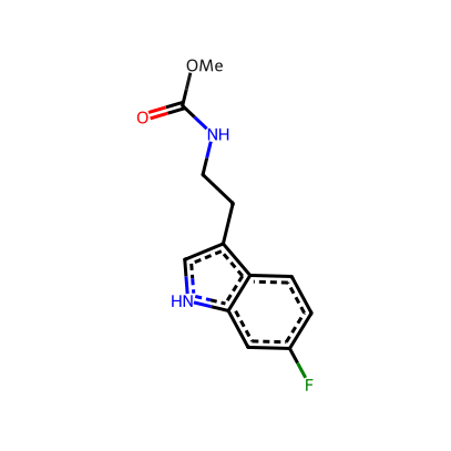 COC(=O)NCCc1c[nH]c2cc(F)ccc12